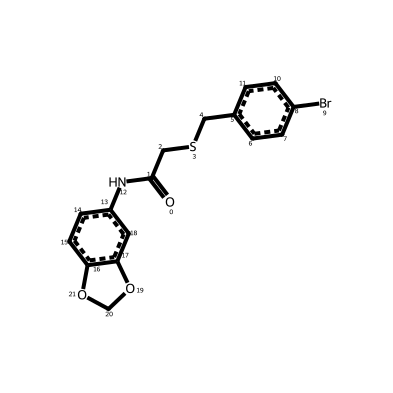 O=C(CSCc1ccc(Br)cc1)Nc1ccc2c(c1)OCO2